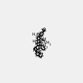 C=CC(=O)Nc1cc(Nc2nc(-c3ccnc(N4CCc5cccnc5C4=O)c3COC3CCCCO3)cn(C)c2=O)ccc1N1CCN(C2COC2)C[C@@H]1C